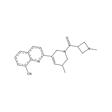 CC1C=C(c2ccc3cccc(C#N)c3n2)CN(C(=O)C2CN(C)C2)C1